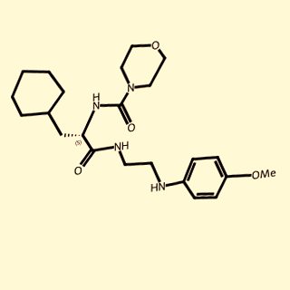 COc1ccc(NCCNC(=O)[C@H](CC2CCCCC2)NC(=O)N2CCOCC2)cc1